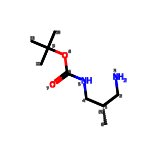 C[C@@H](CN)CNC(=O)OC(C)(C)C